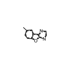 Cc1ccc2oc3nccnc3c2c1